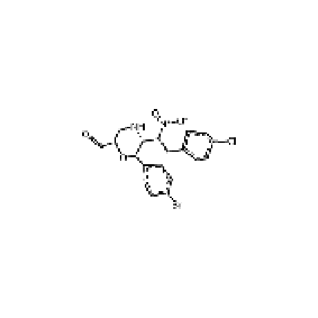 O=C[C@H]1CN[C@H]([C@H](Cc2ccc(Cl)cc2)[N+](=O)[O-])C(c2ccc(Br)cc2)O1